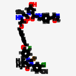 CC(C)(C)[C@H](NC(=O)COCC#CC#CCOc1ccc(N2C(=S)N(c3ccc(C#N)c(Cl)c3)C(=O)C2(C)C)cc1F)C(=O)N1C[C@H](O)C[C@H]1C(=O)NCc1ccc(-c2cnco2)cc1